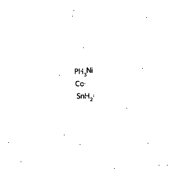 P.[Co].[Ni].[SnH2]